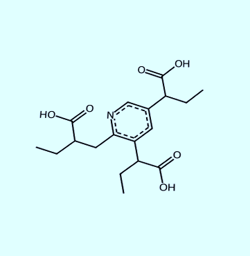 CCC(Cc1ncc(C(CC)C(=O)O)cc1C(CC)C(=O)O)C(=O)O